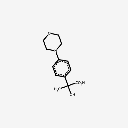 CC(O)(C(=O)O)c1ccc(N2CCOCC2)cc1